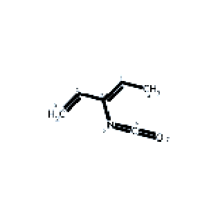 C=CC(=CC)N=C=O